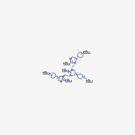 C[C@@H]1CN(C2CCN(C(C)(C)C)CC2)C[C@@H](CC[C@H]2CN(C3CCN(CC(C)(C)C)CC3)C[C@@H](CC[C@H]3CN(C4CCN(C(C)(C)C)CC4)C[C@@H](C)N3C(C)(C)C)N2C(C)(C)C)N1C(C)(C)C